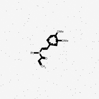 C=CC(=O)N(C=Cc1ccc(OC)c(OC)c1)C(C)C